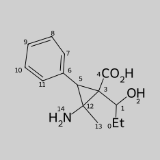 CCC(O)C1(C(=O)O)C(c2ccccc2)C1(C)N